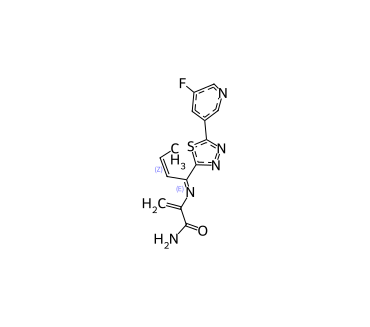 C=C(/N=C(\C=C/C)c1nnc(-c2cncc(F)c2)s1)C(N)=O